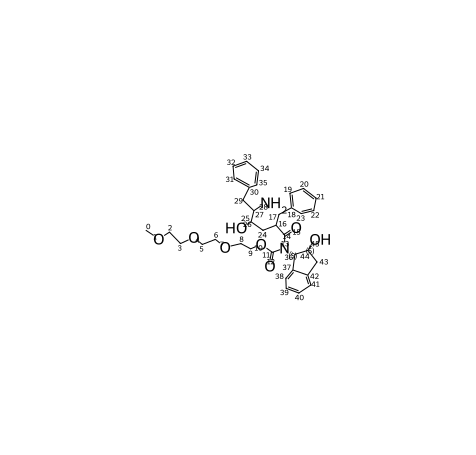 COCCOCCOCCOC(=O)N(C(=O)C(Cc1ccccc1)CC(O)C(N)Cc1ccccc1)[C@H]1c2ccccc2C[C@@H]1O